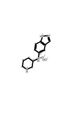 Cl.Cl.c1cc2[nH]ncc2cc1NC1CCCNC1